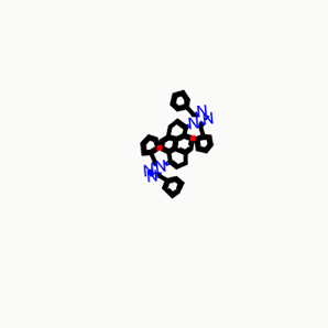 C1=C(n2c(-c3ccccc3)nnc2-c2ccccc2)c2ccc3c4c(ccc(c24)C1)C(n1c(-c2ccccc2)nnc1-c1ccccc1)=CC3